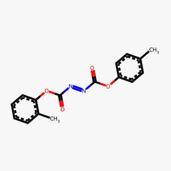 Cc1ccc(OC(=O)N=NC(=O)Oc2ccccc2C)cc1